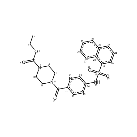 CCOC(=O)N1CCN(C(=O)c2ccc(NS(=O)(=O)c3cccc4cccnc34)cn2)CC1